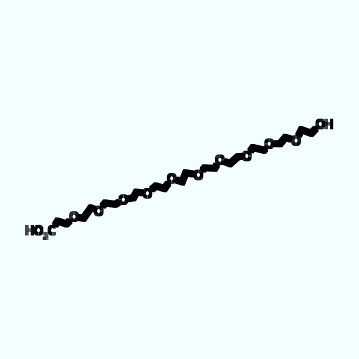 O=C(O)CCOCCOCCOCCOCCOCCOCCOCCOCCOCCOCCO